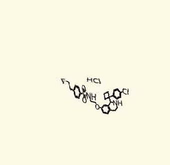 Cl.O=S(=O)(NCCOc1ccc2c(c1)C(C1(c3ccc(Cl)cc3)CCC1)NCC2)c1ccc(CCF)cc1